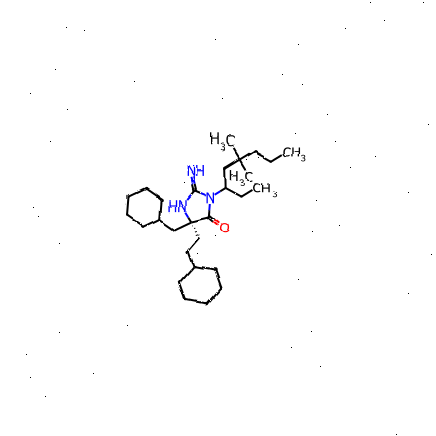 CCCC(C)(C)CC(CC)N1C(=N)N[C@](CCC2CCCCC2)(CC2CCCCC2)C1=O